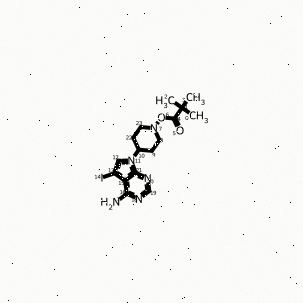 CC(C)(C)C(=O)ON1CCC(n2cc(I)c3c(N)ncnc32)CC1